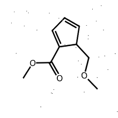 COCC1C=CC=C1C(=O)OC